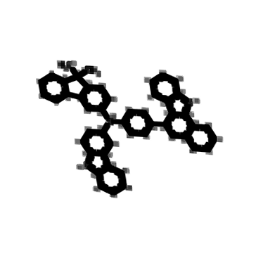 CC1(C)c2ccccc2-c2cc(N(c3ccc(-c4cc5ccccc5c5sc6ccccc6c45)cc3)c3ccc4sc5ccccc5c4c3)ccc21